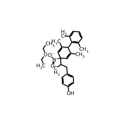 CC1=CC(C(C)Cc2ccc(O)cc2)([N+](=O)[O-])C=C(C)C1c1c(C)cccc1C.CCOCC